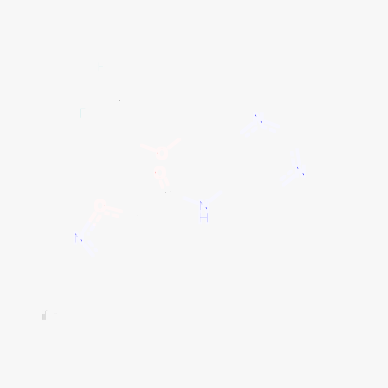 CC(C)Cc1cc(C(=O)Nc2c(-c3cc(F)ccc3F)ncnc2C2CCC(F)(F)CO2)on1